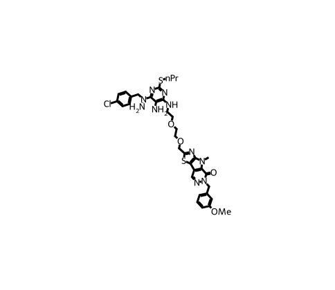 CCCSc1nc(NCCOCCOCc2nc3c(s2)c2cnn(Cc4cccc(OC)c4)c(=O)c2n3C)c(N)c(N(N)Cc2ccc(Cl)cc2)n1